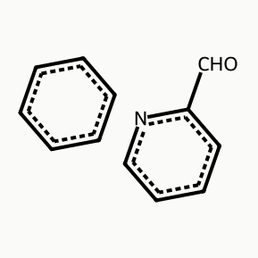 O=Cc1ccccn1.c1ccccc1